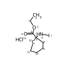 CCOC(=O)C1(NI)CCCCC1.Cl